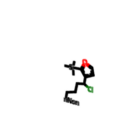 CCCCCCCCCCCCC(Cl)c1ccoc1[Si](C)(C)C